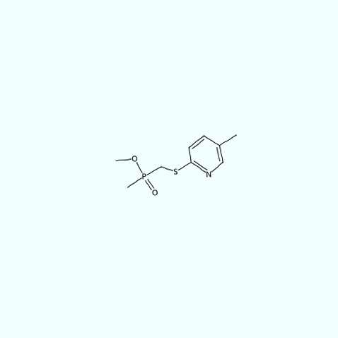 COP(C)(=O)CSc1ccc(C)cn1